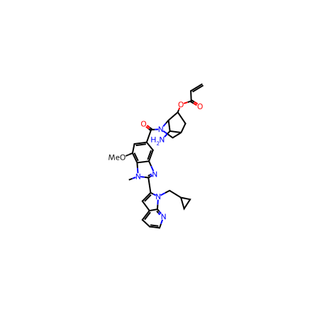 C=CC(=O)OC1CC2CN(C(=O)c3cc(OC)c4c(c3)nc(-c3cc5cccnc5n3CC3CC3)n4C)C1C2N